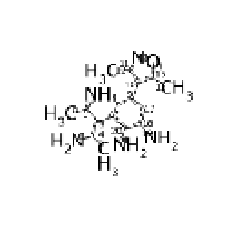 CC(=N)/C(=C(/C)N)c1cc(-c2c(C)noc2C)cc(N)c1N